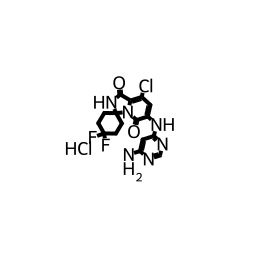 Cl.Nc1cc(Nc2cc(Cl)c3n(c2=O)C2(CCC(F)(F)CC2)NC3=O)ncn1